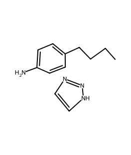 CCCCc1ccc(N)cc1.c1c[nH]nn1